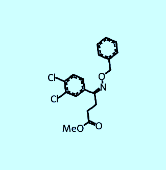 COC(=O)CCC(=NOCc1ccccc1)c1ccc(Cl)c(Cl)c1